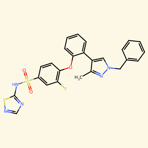 Cc1nn(Cc2ccccc2)cc1-c1ccccc1Oc1ccc(S(=O)(=O)Nc2ncns2)cc1F